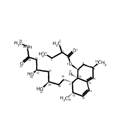 CCC(C)C(=O)O[C@H]1C[C@@H](C)C=C2C=C[C@H](C)[C@H](CC[C@@H](O)C[C@@H](O)CC(=O)NC)[C@H]21